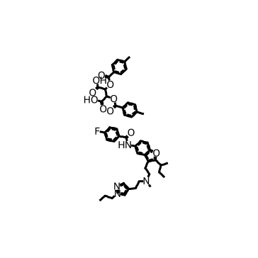 CCCn1cc(CCN(C)CCc2c(C(C)CC)oc3ccc(NC(=O)c4ccc(F)cc4)cc23)cn1.Cc1ccc(C(=O)OC(C(=O)O)C(OC(=O)c2ccc(C)cc2)C(=O)O)cc1